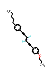 CCCCCc1ccc(C#C/C(F)=C(\F)C#Cc2ccc(OCCC)cc2)cc1